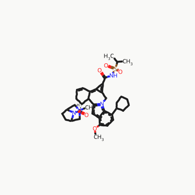 COc1ccc(C2CCCCC2)c2c1cc1n2CC2=C(C(=O)NS(=O)(=O)C(C)C)C2=C2C=CC[C@@H](C(=O)N3C4CCC3CN(C)C4)C21